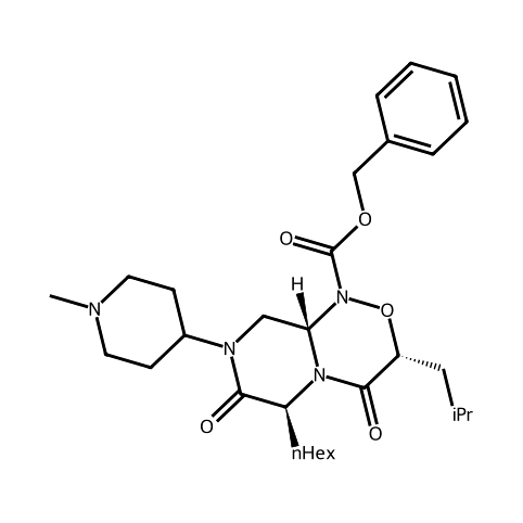 CCCCCC[C@H]1C(=O)N(C2CCN(C)CC2)C[C@@H]2N(C(=O)OCc3ccccc3)O[C@H](CC(C)C)C(=O)N21